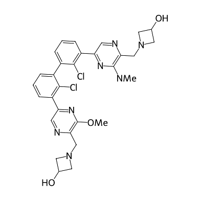 CNc1nc(-c2cccc(-c3cccc(-c4cnc(CN5CC(O)C5)c(OC)n4)c3Cl)c2Cl)cnc1CN1CC(O)C1